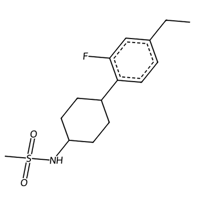 CCc1ccc(C2CCC(NS(C)(=O)=O)CC2)c(F)c1